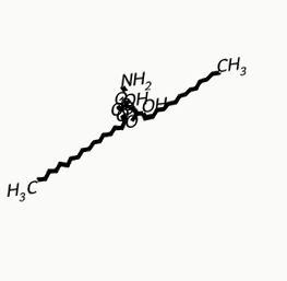 CCCCCCCCCCCCC/C=C\C(O)C(COP(=O)(O)OCCN)OC(=O)CCCCCCCCCCCCCCCCC